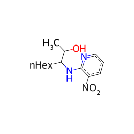 CCCCCCC(Nc1ncccc1[N+](=O)[O-])C(C)O